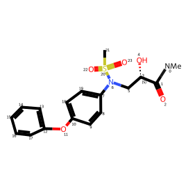 CNC(=O)[C@@H](O)CN(c1ccc(Oc2ccccc2)cc1)S(C)(=O)=O